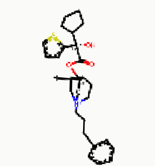 O=C(O[C@H]1C[N+]2(CCCc3ccccc3)CCC1CC2)[C@@](O)(c1cccs1)C1CCCC1